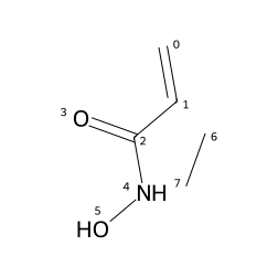 C=CC(=O)NO.CC